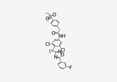 CCS(=O)(=O)c1ccc(CC(=O)Nc2cc(Cl)c(C3(c4noc(-c5cccc(F)c5)n4)CC3)c(Cl)c2)cc1